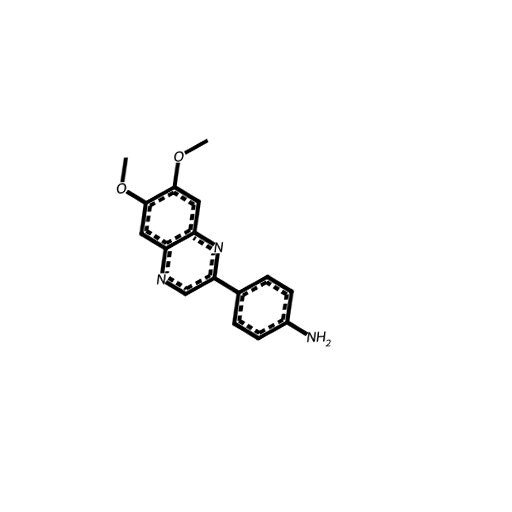 COc1cc2ncc(-c3ccc(N)cc3)nc2cc1OC